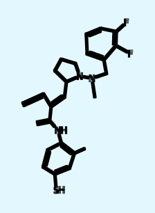 C=C/C(=C\C1CCCN1N(C)Cc1cccc(F)c1F)C(=C)Nc1ccc(S)cc1C